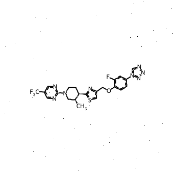 C[C@H]1CN(c2ncc(C(F)(F)F)cn2)CC[C@H]1c1nc(COc2ccc(-n3cnnn3)cc2F)cs1